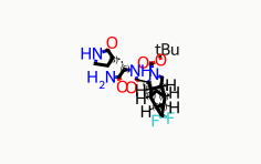 CC(C)(C)OC(=O)N1C[C@@H]2[C@H]3C[C@@H]([C@@H]2[C@H]1C(=O)N[C@@H](C[C@@H]1CCNC1=O)C(N)=O)[C@H]1[C@@H]3C1(F)F